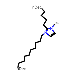 CCCCCCCCCCCCCCCCCCC[n+]1ccn(C(C)C)c1CCCCCCCCCCCCCC